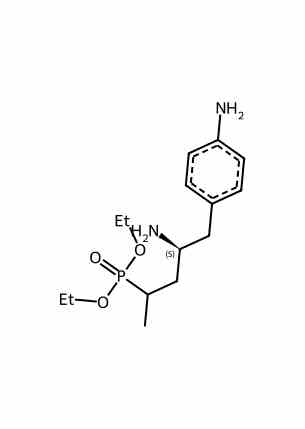 CCOP(=O)(OCC)C(C)C[C@@H](N)Cc1ccc(N)cc1